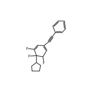 FC1=CC(C#Cc2ccccc2)=CC(F)C1(F)C1CCCC1